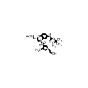 CC(=O)NC[C@H]1CN(S(=O)(=O)c2cn(CCO)nc2C)c2cc(NC(=O)OC(C)(C)C(F)(F)F)ccc2O1